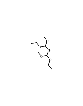 CCOC([N]C(OC)OCC)OC